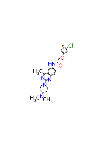 Cc1nc(N2CCC(N(C)C)CC2)nc2ccc(NC(=O)COc3csc(Cl)c3)cc12